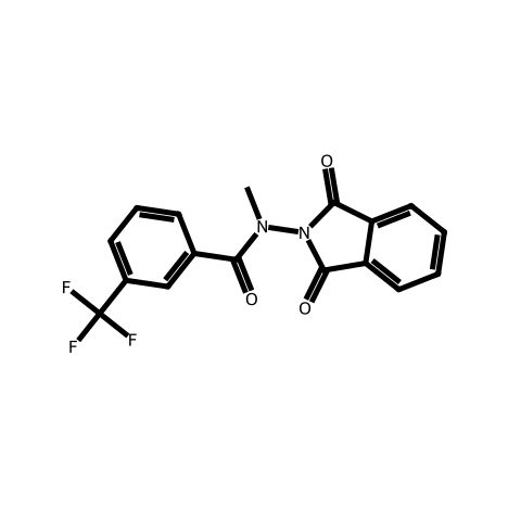 CN(C(=O)c1cccc(C(F)(F)F)c1)N1C(=O)c2ccccc2C1=O